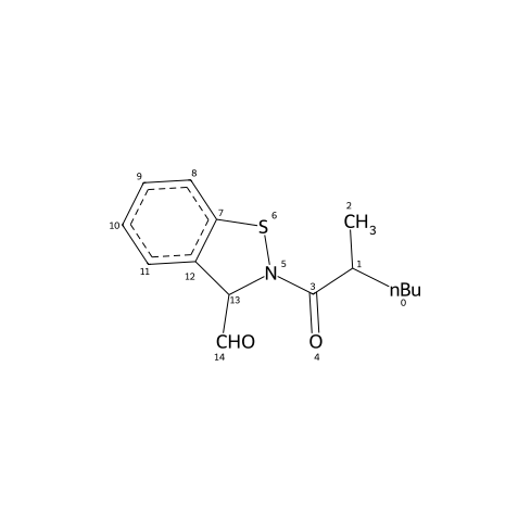 CCCCC(C)C(=O)N1Sc2ccccc2C1C=O